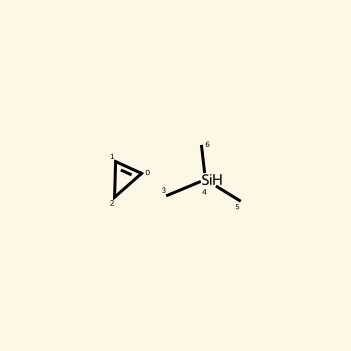 C1=CC1.C[SiH](C)C